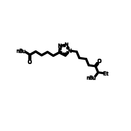 CCCCC(=O)CCCCc1cn(CCCCC(=O)C(CC)CCCC)nn1